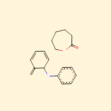 C=C1C=CC=CC1Nc1ccccc1.O=C1CCCCCO1